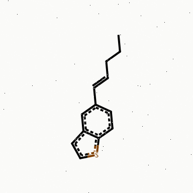 [CH2]CCC=Cc1ccc2sccc2c1